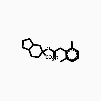 CCOC(=O)C1(OC(=O)Cc2c(C)cccc2C)CCC2CCCC2C1